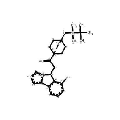 CC(C)(C)[Si](C)(C)OC12CCC(C(=O)CC3c4c(F)cccc4-c4cncn43)(CC1)CC2